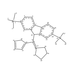 C[Si](C)(C)c1ccc2c(c1)[CH]([Zr]([C]1=CC=CC1)=[Si]1CCCC1)c1cc([Si](C)(C)C)ccc1-2